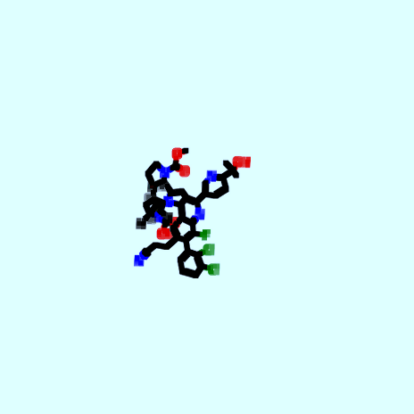 COC(=O)N1CCC[C@@H]1c1cc2c(-c3ccc(C(C)(C)O)nc3)nc3c(F)c(-c4cccc(Cl)c4Cl)c(CCC#N)cc3c2n1[C@H]1[C@@H]2C[C@H]1N(C(=O)O)C2